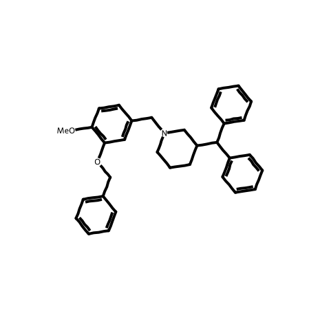 COc1ccc(CN2CCCC(C(c3ccccc3)c3ccccc3)C2)cc1OCc1ccccc1